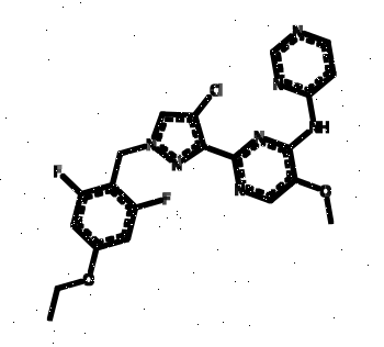 CCOc1cc(F)c(Cn2cc(Cl)c(-c3ncc(OC)c(Nc4ccncn4)n3)n2)c(F)c1